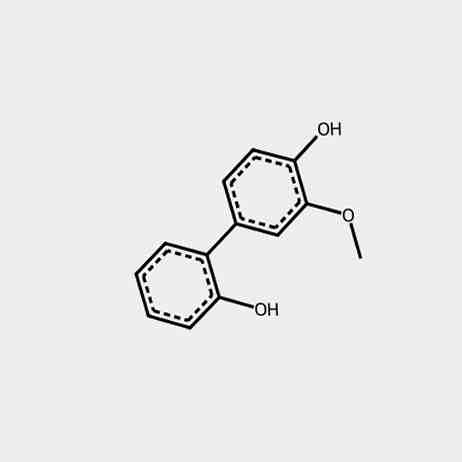 COc1cc(-c2ccccc2O)ccc1O